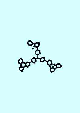 C1=CC(N(c2ccc(-c3ccc4c5ccccc5c5ccccc5c4c3)cc2)c2ccc(-c3ccc4c(c3)c3cccc5c6ccccc6n4c53)cc2)CC=C1c1cccc2c1oc1ccccc12